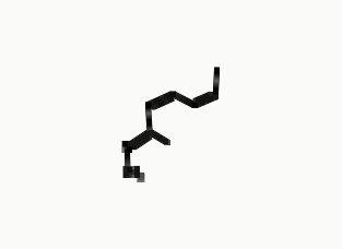 B/N=C(C)/C=C\C=C/C